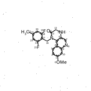 COc1ccc2c3c(cnc2c1)NCC(=O)N3Cc1c(F)cc(C)cc1F